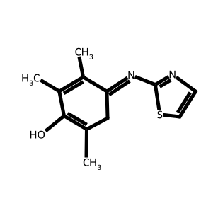 CC1=C(O)C(C)=C(C)C(=Nc2nccs2)C1